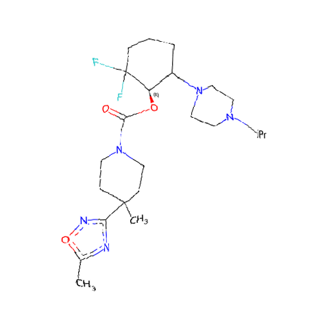 Cc1nc(C2(C)CCN(C(=O)O[C@@H]3C(N4CCN(C(C)C)CC4)CCCC3(F)F)CC2)no1